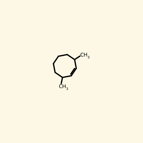 CC1C=CC(C)CCCC1